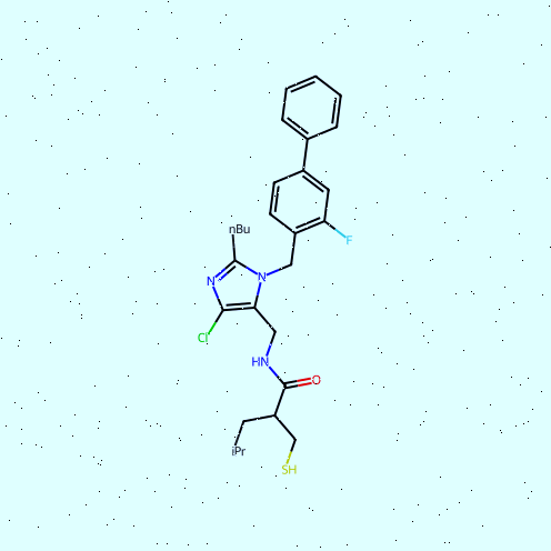 CCCCc1nc(Cl)c(CNC(=O)C(CS)CC(C)C)n1Cc1ccc(-c2ccccc2)cc1F